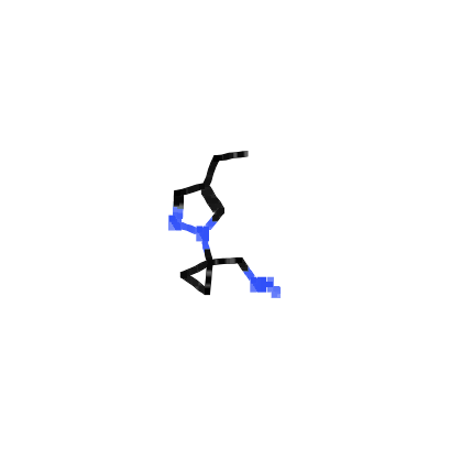 CCc1cnn(C2(CN)CC2)c1